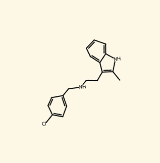 Cc1[nH]c2ccccc2c1CCNCc1ccc(Cl)cc1